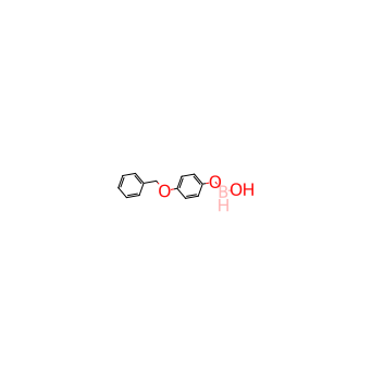 OBOc1ccc(OCc2ccccc2)cc1